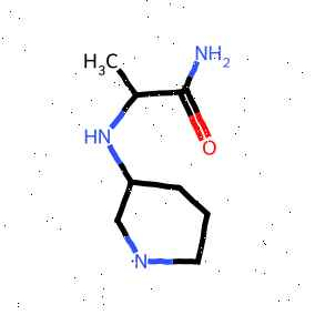 CC(NC1CCC[N]C1)C(N)=O